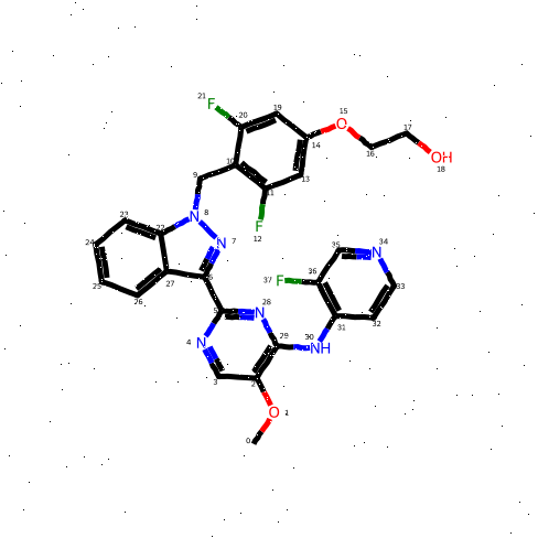 COc1cnc(-c2nn(Cc3c(F)cc(OCCO)cc3F)c3ccccc23)nc1Nc1ccncc1F